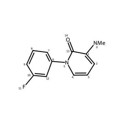 CNc1cccn(-c2cccc(F)c2)c1=O